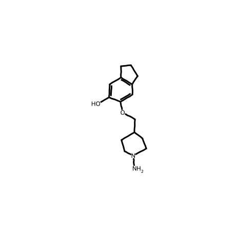 NN1CCC(COc2cc3c(cc2O)CCC3)CC1